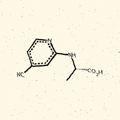 C[C@H](Nc1cc(C#N)ccn1)C(=O)O